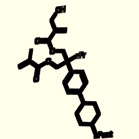 C=C(C)C(=O)OCC(CCC)(COC(=O)C(=C)CO)c1ccc(C2CCC(CCCCC)CC2)cc1